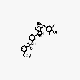 Cc1cc(N=C2C(C(C)(C)C)=Nn3c2nnc3-c2cccc(NS(=O)(=O)c3cccc(C(=O)O)c3)c2)cc(Cl)c1O